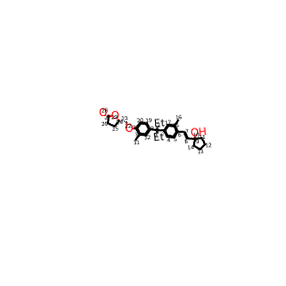 CCC(CC)(c1ccc(C=CC2(O)CCCC2)c(C)c1)c1ccc(OC[C@@H]2CCC(=O)O2)c(C)c1